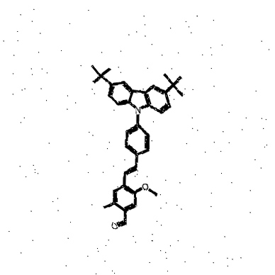 COc1cc(C=O)c(C)cc1/C=C/c1ccc(-n2c3ccc(C(C)(C)C)cc3c3cc(C(C)(C)C)ccc32)cc1